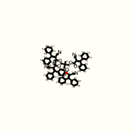 CC(COC(=O)C(C#N)=C(c1ccccc1)c1ccccc1)(COC(=O)C(C#N)=C(c1ccccc1)c1ccccc1)C(OC(=O)C(C#N)=C(c1ccccc1)c1ccccc1)OC(=O)C(C#N)=C(c1ccccc1)c1ccccc1